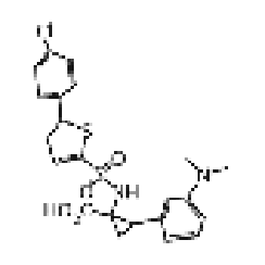 CN(C)c1cccc(C2CC2(NS(=O)(=O)C2=CCC(c3ccc(Cl)cc3)S2)C(=O)O)c1